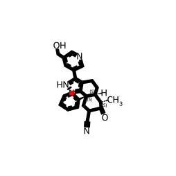 C[C@@H]1C(=O)C(C#N)C[C@]2(c3ccccc3)c3n[nH]c(-c4cncc(CO)c4)c3CC[C@@H]12